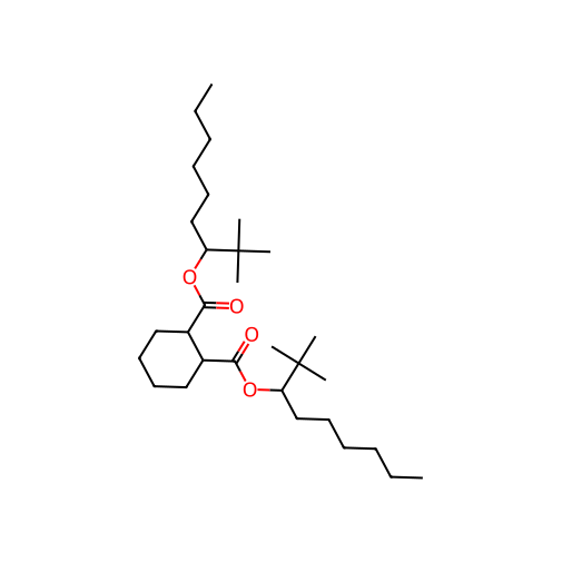 CCCCCCC(OC(=O)C1CCCCC1C(=O)OC(CCCCCC)C(C)(C)C)C(C)(C)C